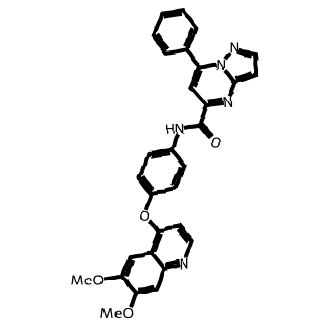 COc1cc2nccc(Oc3ccc(NC(=O)c4cc(-c5ccccc5)n5nccc5n4)cc3)c2cc1OC